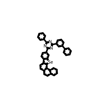 c1ccc(-c2cccc(-c3nc(-c4ccccc4)nc(-c4ccc5c(c4)[se]c4c5ccc5ccc6ccccc6c54)n3)c2)cc1